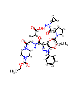 CCOC(=O)N1CCN(C(=O)[C@H](CCC(=O)O)NC(=O)c2cc(O[C@@H](C)C(=O)N3CCC[C@H]3C(=O)NC3CC3)n(-c3ccccc3)n2)CC1